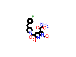 COCn1cc(C(=O)C(N)=O)c2cc(C(=O)N3CCC(Cc4ccc(F)cc4)CC3)c(OC)nc21